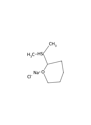 C[SiH](C)C1CCCCO1.[Cl-].[Na+]